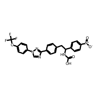 O=C(O)NC(Cc1ccc(-c2ncn(-c3ccc(OC(F)(F)F)cc3)n2)cc1)c1ccc([N+](=O)[O-])cc1